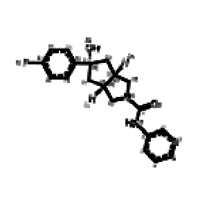 O=C(Nc1cccnc1)N1C[C@@H]2C[C@@](O)(c3ccc(F)cc3)C[C@@H]2C1